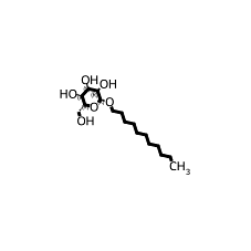 CCCCCCCCCCCO[C@@H]1O[C@H](CO)[C@H](O)[C@H](O)[C@H]1O